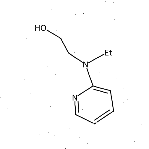 CCN(CCO)c1ccccn1